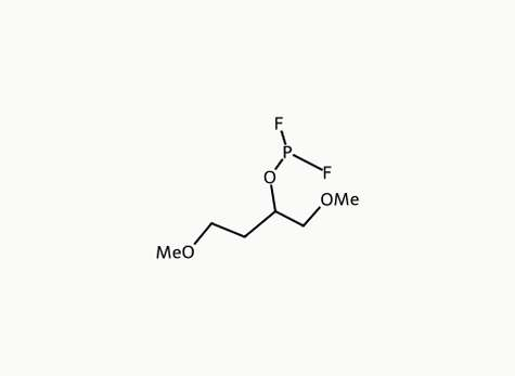 COCCC(COC)OP(F)F